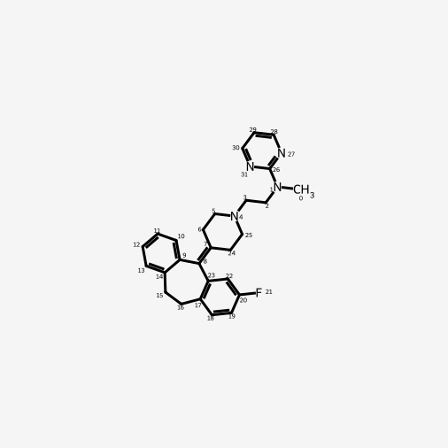 CN(CCN1CCC(=C2c3ccccc3CCc3ccc(F)cc32)CC1)c1ncccn1